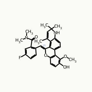 COc1c(O)ccc2c1-c1ccc3c(c1/C(=C/c1ccc(F)cc1C(=O)N(C)C)O2)C(C)=CC(C)(C)N3